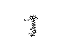 COc1ccc2ccc(=O)n(CC3(O)CCN(C[C@@H]4CN(c5ccc6c(c5)NC(=O)CS6)C(=O)O4)C3)c2c1